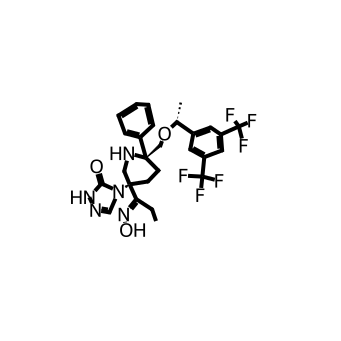 CC/C(=N\O)[C@]1(n2cn[nH]c2=O)CC[C@@](CO[C@H](C)c2cc(C(F)(F)F)cc(C(F)(F)F)c2)(c2ccccc2)NC1